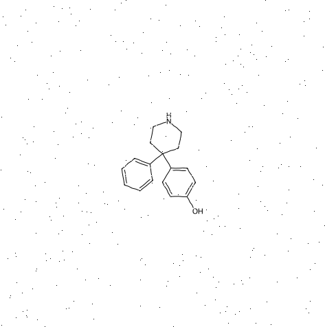 Oc1ccc(C2(c3ccccc3)CCNCC2)cc1